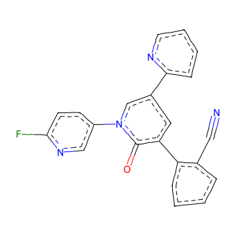 N#Cc1ccccc1-c1cc(-c2ccccn2)cn(-c2ccc(F)nc2)c1=O